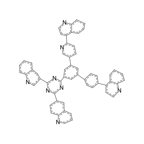 c1cnc2ccc(-c3nc(-c4cc(-c5ccc(-c6ccnc7ccccc67)cc5)cc(-c5ccc(-c6ccnc7ccccc67)nc5)c4)nc(-c4cnc5ccccc5c4)n3)cc2c1